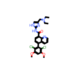 CCN(CC)Cc1c[nH]c(NC(=O)c2ccc(-c3c(Cl)c(OC)cc(OC)c3Cl)c3cccnc23)n1